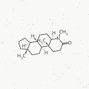 CN1C(=O)CC[C@]2(C)[C@H]3CC[C@]4(C)CCC[C@H]4[C@@H]3CC[C@@H]12